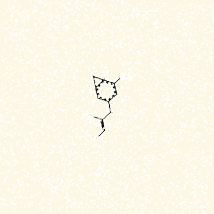 CC/C=C(\N)Cc1cc(C)c2c(c1)C2